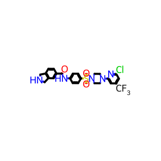 O=C(Nc1ccc(S(=O)(=O)N2CCN(c3cc(C(F)(F)F)cc(Cl)n3)CC2)cc1)c1ccc2c(c1)CNC2